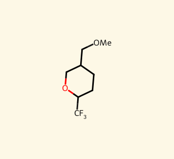 COCC1CCC(C(F)(F)F)OC1